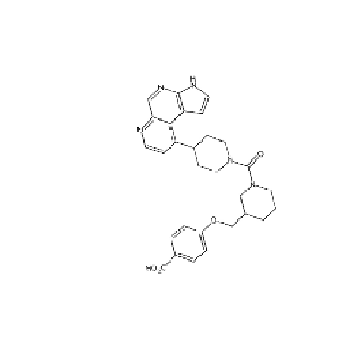 O=C(O)c1ccc(OCC2CCCN(C(=O)N3CCC(c4ccnc5cnc6[nH]ccc6c45)CC3)C2)cc1